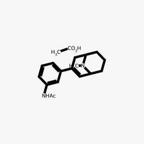 CC(=O)Nc1cccc(C2=CC3CCCC(C2)N3C)c1.CC(=O)O